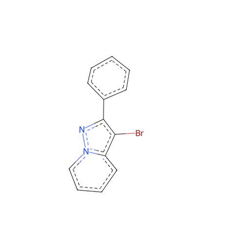 Brc1c(-c2ccccc2)nn2ccccc12